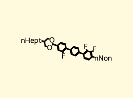 CCCCCCCCCc1ccc(-c2ccc(-c3ccc(C4OCC(CCCCCCC)CO4)cc3F)cc2)c(F)c1F